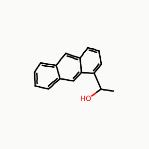 CC(O)c1cccc2cc3ccccc3cc12